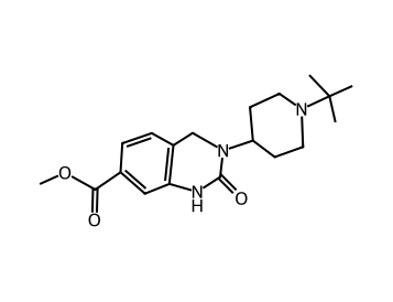 COC(=O)c1ccc2c(c1)NC(=O)N(C1CCN(C(C)(C)C)CC1)C2